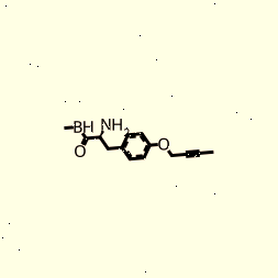 CBC(=O)[C@@H](N)Cc1ccc(OCC#CC)cc1